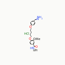 CCCNC(=O)c1ccc(OCCCCCOc2ccc(C=NN)cc2)c(OC)c1.Cl